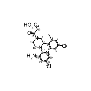 Cc1cc(Cl)ccc1C1CN(C(=O)CC(=O)O)CCN1c1ncc(Cl)cc1N